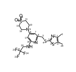 Cc1nc(SCc2cc(N3CCS(=O)(=O)CC3)cc(NCC(F)(F)F)n2)sc1C